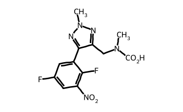 CN(Cc1nn(C)nc1-c1cc(F)cc([N+](=O)[O-])c1F)C(=O)O